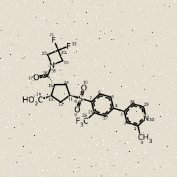 Cc1cc(-c2ccc(S(=O)(=O)[C@H]3C[C@@H](C(=O)O)[C@H](C(=O)N4CC(F)(F)C4)C3)c(C(F)(F)F)c2)ccn1